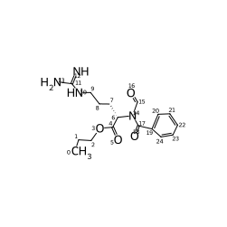 CCCOC(=O)[C@H](CCCNC(=N)N)N(C=O)C(=O)c1ccccc1